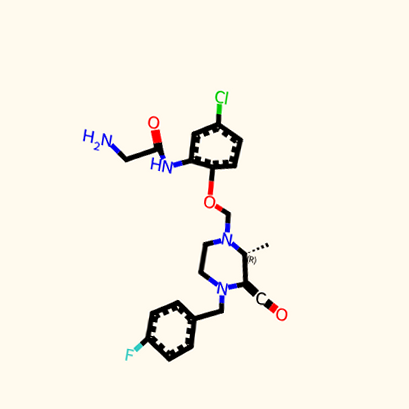 C[C@@H]1C(=C=O)N(Cc2ccc(F)cc2)CCN1COc1ccc(Cl)cc1NC(=O)CN